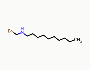 CCCCCCCCCCNCBr